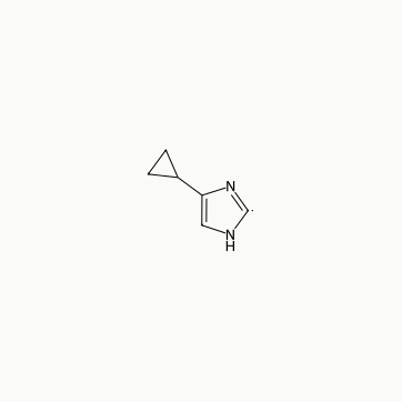 [c]1nc(C2CC2)c[nH]1